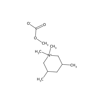 CC1CC(C)C[N+](C)(C)C1.COC(=O)[O-]